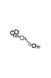 Brc1ccc(OCCCN2CCC(Nc3cccc4ccccc34)CC2)cc1